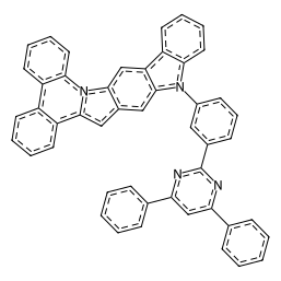 c1ccc(-c2cc(-c3ccccc3)nc(-c3cccc(-n4c5ccccc5c5cc6c(cc54)cc4c5ccccc5c5ccccc5n64)c3)n2)cc1